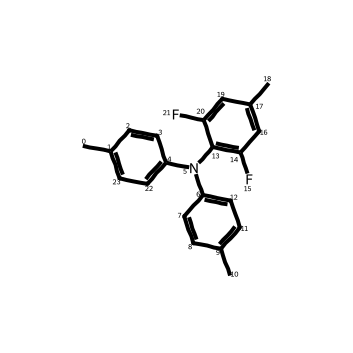 Cc1ccc(N(c2ccc(C)cc2)c2c(F)cc(C)cc2F)cc1